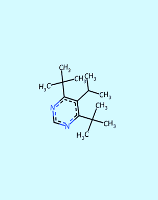 CC(C)c1c(C(C)(C)C)ncnc1C(C)(C)C